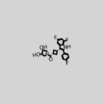 O=C([C@H]1C[C@@H](c2c(-c3ccc(F)cc3)[nH]c3c(F)cc(F)cc32)C1)N1C[C@@H](O)[C@H](O)C1